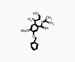 COc1cc(C(N)/C=C\O)c(C(=N)/N=C(/C)P)cc1OCc1ccccc1